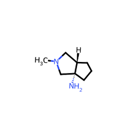 CN1C[C@@H]2CCC[C@@]2(N)C1